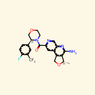 C[C@@H]1OCc2c1c(N)nc1cnc(C(=O)N3CCOC[C@@H]3c3ccc(F)c(C(F)(F)F)c3)cc21